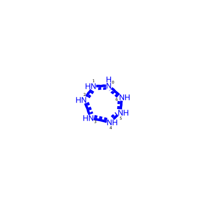 [nH]1[nH][nH][nH][nH][nH][nH]1